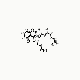 CCC=CCCOc1c(OC/C=C(\C)CCC=C(C)C)c(=O)oc2cccc(O)c12